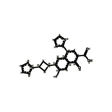 O=C(O)c1cn(-c2nccs2)c2nc(N3CC(n4nccn4)C3)c(F)cc2c1=O